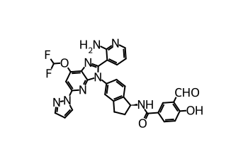 Nc1ncccc1-c1nc2c(OC(F)F)cc(-n3cccn3)nc2n1-c1ccc2c(c1)CC[C@@H]2NC(=O)c1ccc(O)c(C=O)c1